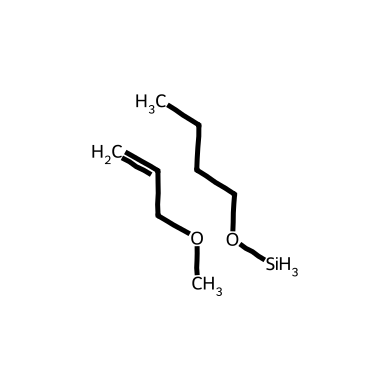 C=CCOC.CCCCO[SiH3]